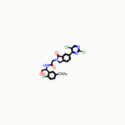 COc1ccc(F)c(C(CO)NC(=O)CN2Cc3ccc(-c4nc(Cl)ncc4Cl)cc3C2=O)c1